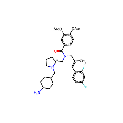 COc1ccc(C(=O)N(CC(C)=Cc2ccc(F)cc2F)C[C@@H]2CCCN2CC2CCC(N)CC2)cc1OC